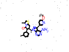 Cc1cccc(-c2c([C@H](C)n3nc(-c4ccc(OC(C)C)nc4)c4c(N)ncnc43)cc3scc(C)n3c2=O)c1